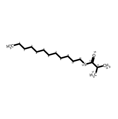 CCCCCCCCCCCCSC(=O)C(C)C